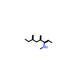 C=C(CC)CC(=C)/C(=C/C)NC